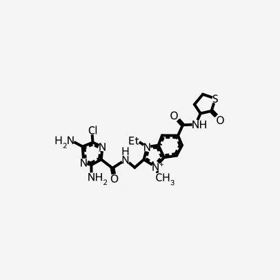 CCn1c(CNC(=O)c2nc(Cl)c(N)nc2N)[n+](C)c2ccc(C(=O)NC3CCSC3=O)cc21